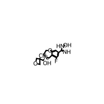 CC1(C(O)N2CCOc3cc(C(=N)NO)cc(F)c3C2)COC1